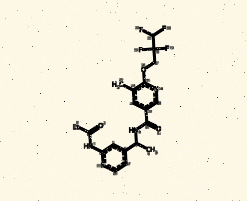 CCC(=O)Nc1cc(C(C)NC(=O)c2cnc(OCC(F)(F)C(F)F)c(C)c2)ccn1